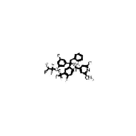 Cc1cc(C(=O)NC(Cc2ccccc2)(c2cc(F)cc(OC(F)(F)C(F)F)c2)c2ccc(F)c(C(F)(F)F)c2)cc(Cl)n1